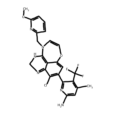 COc1cccc(CN2C=COc3cc(-c4nc(N)cc(C)c4C(F)(F)F)c(Cl)c4c3=C2NCN=4)n1